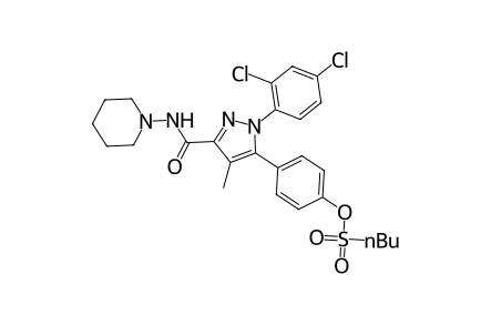 CCCCS(=O)(=O)Oc1ccc(-c2c(C)c(C(=O)NN3CCCCC3)nn2-c2ccc(Cl)cc2Cl)cc1